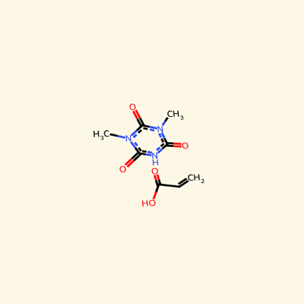 C=CC(=O)O.Cn1c(=O)[nH]c(=O)n(C)c1=O